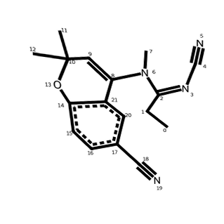 CC/C(=N/C#N)N(C)C1=CC(C)(C)Oc2ccc(C#N)cc21